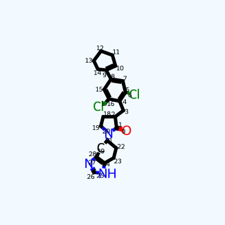 O=C1C(Cc2c(Cl)cc(C3=CCCCC3)cc2Cl)CCN1C1CCc2[nH]cnc2C1